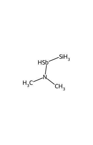 C[N](C)[SbH][SiH3]